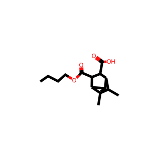 CCCCOC(=O)C1C2CC(C(C)=C2C)C1C(=O)O